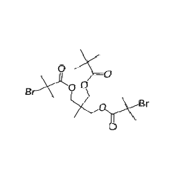 CC(COC(=O)C(C)(C)C)(COC(=O)C(C)(C)Br)COC(=O)C(C)(C)Br